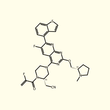 C=C(F)C(=O)N1CCN(c2nc(OC[C@@H]3CCCN3C)nc3nc(-c4cccc5sccc45)c(F)cc23)C[C@@H]1CC#N